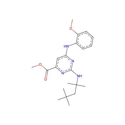 COC(=O)c1cc(Nc2ccccc2OC)nc(NC(C)(C)CC(C)(C)C)n1